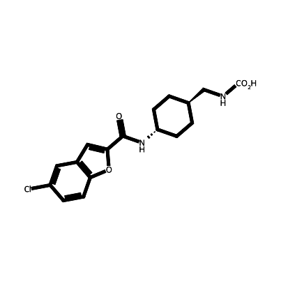 O=C(O)NC[C@H]1CC[C@H](NC(=O)c2cc3cc(Cl)ccc3o2)CC1